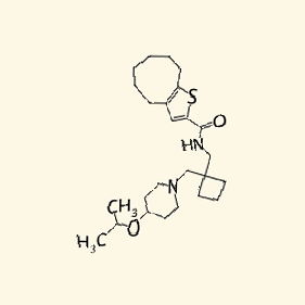 CC(C)OC1CCN(CC2(CNC(=O)c3cc4c(s3)CCCCCC4)CCC2)CC1